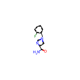 NC(=O)c1cn(Cc2ccccc2F)cn1